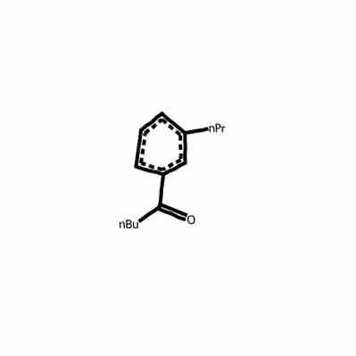 CCCCC(=O)c1cccc(CCC)c1